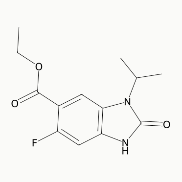 CCOC(=O)c1cc2c(cc1F)[nH]c(=O)n2C(C)C